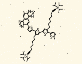 Cc1ccc(-c2sc(-c3cc(CCCCCCC#C[Si](C(C)C)(C(C)C)C(C)C)c(-c4ccc(-c5cc6c(cc(C)c7nsnc76)c6nsnc56)s4)s3)cc2CCCCCCC#C[Si](C(C)C)(C(C)C)C(C)C)s1